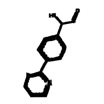 O=[C]C(S)c1ccc(-c2ncccn2)cc1